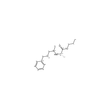 CCCOC(=O)[C@H](C)NN(C)COCc1ccccc1